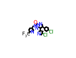 O=c1n(Cc2ccc(C(F)(F)F)nc2)nc2c(-c3cncc(Cl)c3)c(-c3ccc(Cl)cc3)cnn12